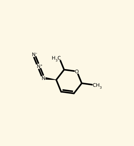 CC1C=C[C@@H](N=[N+]=[N-])C(C)O1